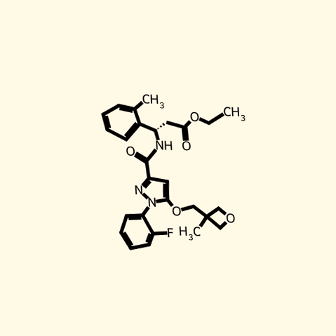 CCOC(=O)C[C@H](NC(=O)c1cc(OCC2(C)COC2)n(-c2ccccc2F)n1)c1ccccc1C